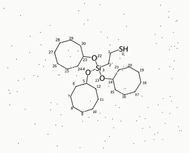 SCC[Si](OC1CCCCCCC1)(OC1CCCCCCC1)OC1CCCCCCC1